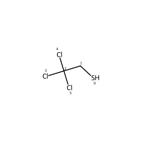 SCC(Cl)(Cl)Cl